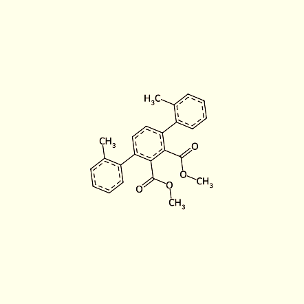 COC(=O)c1c(-c2ccccc2C)ccc(-c2ccccc2C)c1C(=O)OC